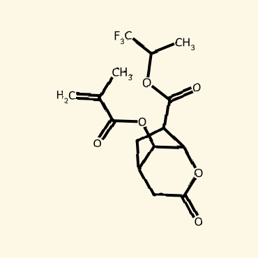 C=C(C)C(=O)OC1C2CC(=O)OC1C(C(=O)OC(C)C(F)(F)F)C2